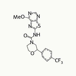 COc1ncnc2sc(NC(=O)N3CCOC(c4ccc(C(F)(F)F)cc4)C3)nc12